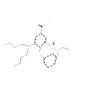 CCCCN(CCCC)c1cc(C(=O)O)cc(S(=O)(=O)N(C)CC)c1Oc1ccccc1